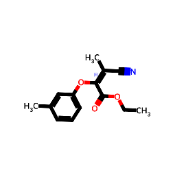 CCOC(=O)/C(Oc1cccc(C)c1)=C(/C)C#N